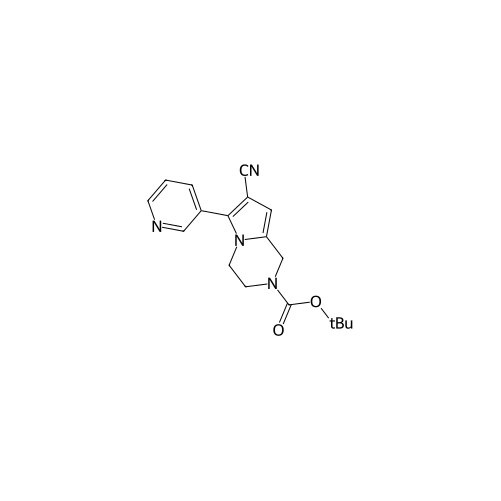 CC(C)(C)OC(=O)N1CCn2c(cc(C#N)c2-c2cccnc2)C1